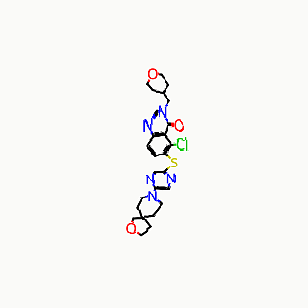 O=c1c2c(Cl)c(Sc3cnc(N4CCC5(CCOC5)CC4)cn3)ccc2ncn1CC1CCOCC1